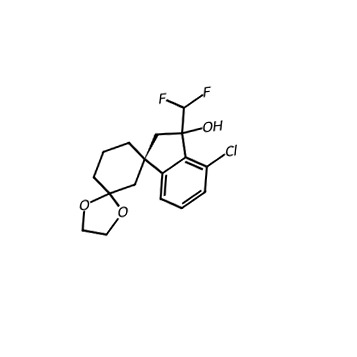 OC1(C(F)F)C[C@@]2(CCCC3(C2)OCCO3)c2cccc(Cl)c21